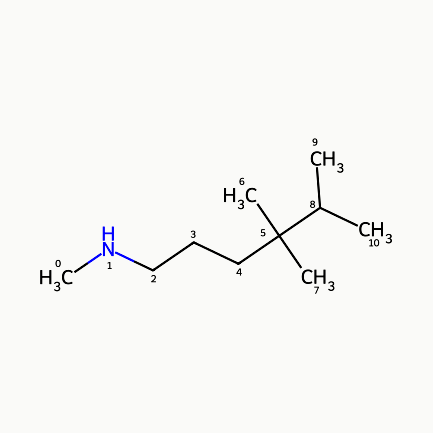 CNCCCC(C)(C)C(C)C